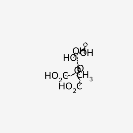 CC(CC#CCCCC(=O)O)(CC#CCCCC(=O)O)COC(=O)CCCC=CC[C@@H]1[C@@H](CC[C@@H](O)CCc2ccccc2)[C@H](O)C[C@@H]1O